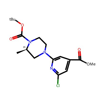 COC(=O)c1cc(Cl)nc(N2CCN(C(=O)OC(C)(C)C)[C@H](C)C2)c1